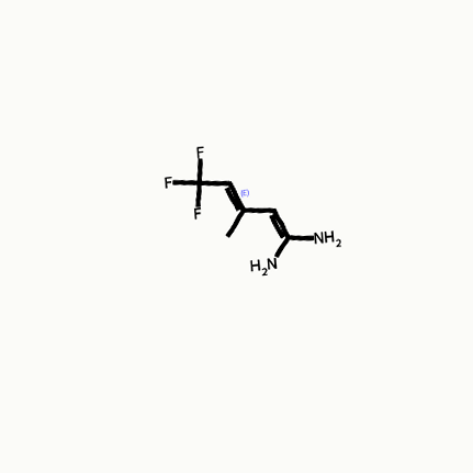 C/C(C=C(N)N)=C\C(F)(F)F